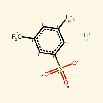 O=S(=O)([O-])c1cc(C(F)(F)F)cc(C(F)(F)F)c1.[Li+]